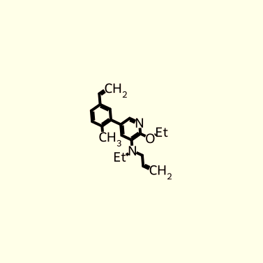 C=CCN(CC)c1cc(-c2cc(C=C)ccc2C)cnc1OCC